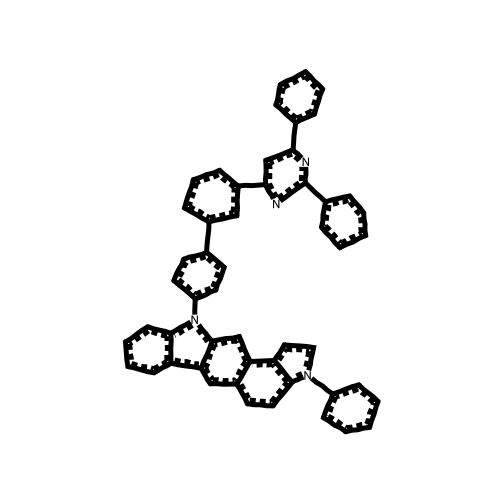 c1ccc(-c2cc(-c3cccc(-c4ccc(-n5c6ccccc6c6cc7ccc8c(ccn8-c8ccccc8)c7cc65)cc4)c3)nc(-c3ccccc3)n2)cc1